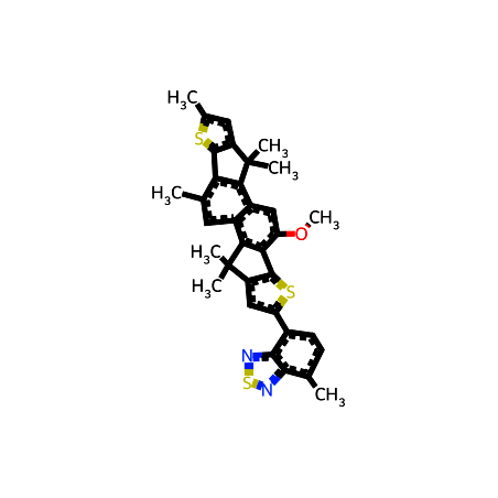 COc1cc2c3c(c(C)cc2c2c1-c1sc(-c4ccc(C)c5nsnc45)cc1C2(C)C)-c1sc(C)cc1C3(C)C